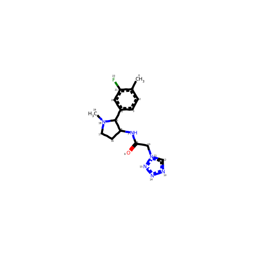 Cc1ccc(C2C(NC(=O)Cn3cnnn3)CCN2C)cc1F